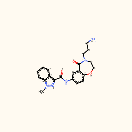 Cn1nc(C(=O)Nc2ccc3c(c2)C(=O)N(CCCN)CCO3)c2ccccc21